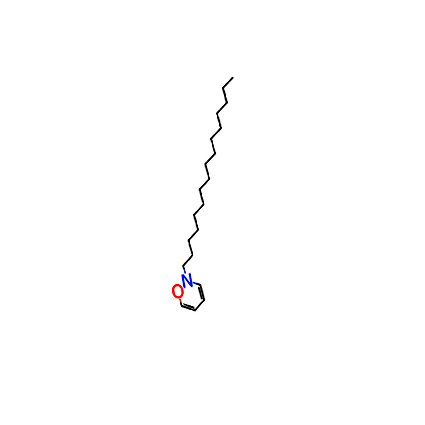 CCCCCCCCCCCCCCCCN1C=CC=CO1